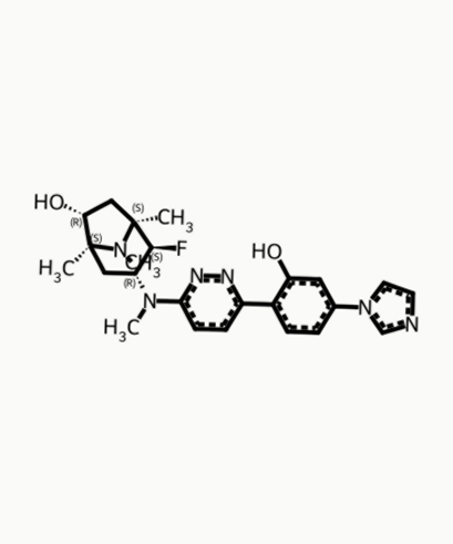 CN(c1ccc(-c2ccc(-n3ccnc3)cc2O)nn1)[C@@H]1C[C@@]2(C)[C@H](O)C[C@@](C)([C@H]1F)N2C